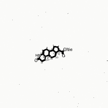 COC(=O)C1CCC2C3CC=C4NC(=O)CC[C@]4(C)C3CC[C@]12C